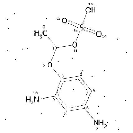 CC(Oc1ccc(N)cc1N)OS(=O)(=O)O